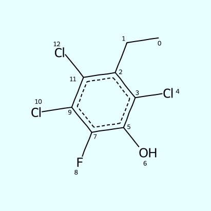 CCc1c(Cl)c(O)c(F)c(Cl)c1Cl